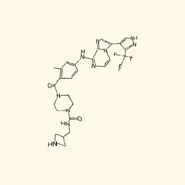 Cc1cc(Nc2nccn3c(-c4c[nH]nc4C(F)(F)F)cnc23)ccc1C(=O)N1CCN(C(=O)NCC2CNC2)CC1